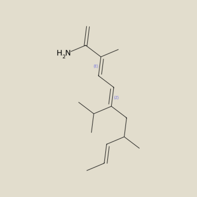 C=C(N)/C(C)=C/C=C(/CC(C)C=CC)C(C)C